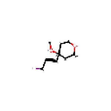 COC1(C=CCI)CCOCC1